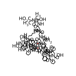 CC(C)C[C@H](NC(=O)[C@@H]1CCCN1C(=O)[C@H](Cc1ccccc1)NC(=O)[C@@H](NC(=O)[C@H](CO)NC(=O)[C@@H]1CCCN1C(=O)CNC(=O)[C@@H](N)CCCCN)C(C)C)C(=O)N[C@@H](C)C(=O)N1CCC[C@H]1C(=O)N[C@@H](CO)C(=O)N[C@@H](CO)C(=O)N[C@@H](CCCCN)C(=O)N[C@@H](CO)C(=O)N[C@H](C(=O)N[C@@H](CO)C(=O)NCC(=O)NCC(=O)N[C@H](C(=O)N[C@@H](C)C(=O)O)[C@@H](C)O)[C@@H](C)O